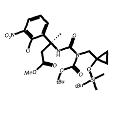 COC(=O)C[C@](C)(NC(=O)N(CC1(O[Si](C)(C)C(C)(C)C)CC1)C(=O)OC(C)(C)C)c1cccc([N+](=O)[O-])c1Cl